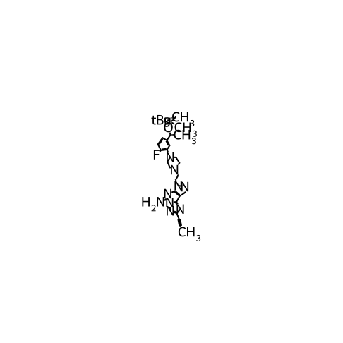 CC#Cc1nc2c3cnn(CCN4CCN(c5cc([C@H](C)O[Si](C)(C)C(C)(C)C)ccc5F)CC4)c3nc(N)n2n1